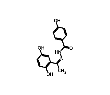 CC(=NNC(=O)c1ccc(O)cc1)c1cc(O)ccc1O